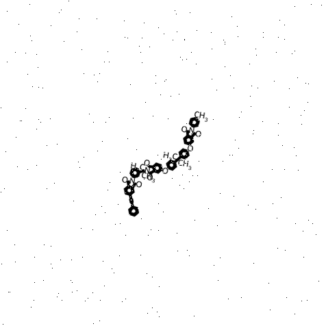 Cc1ccc(N2C(=O)c3ccc(Oc4ccc(C(C)(C)c5ccc(Oc6ccc7c(c6)C(=O)N(C(C)(C)c6cccc(N8C(=O)c9ccc(C#Cc%10ccccc%10)cc9C8=O)c6)C7=O)cc5)cc4)cc3C2=O)cc1